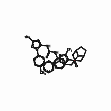 Cc1ccc(-n2nc(C(C)(C)C)cc2NC(=O)Nc2cccc(CC3CC4CCC(C3)N4C(=O)c3nc(-c4ccccc4)oc3C(F)(F)F)c2)cc1